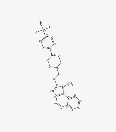 Cn1c(CCN2CCN(c3ccc(C(F)(F)F)cc3)CC2)nc2ccc3ccccc3c21